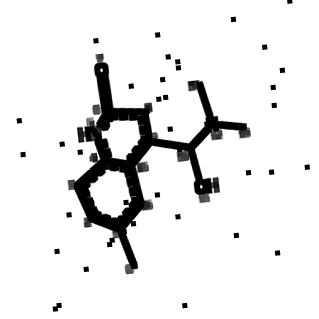 Cc1ccc2[nH]c(=O)cc(C(O)N(C)C)c2c1